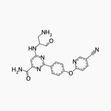 N#Cc1ccc(Oc2ccc(-c3nc(NC(C=O)CN)cc(C(N)=O)n3)cc2)nc1